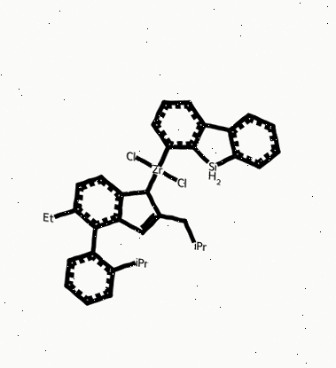 CCc1ccc2c(c1-c1ccccc1C(C)C)C=C(CC(C)C)[CH]2[Zr]([Cl])([Cl])[c]1cccc2c1[SiH2]c1ccccc1-2